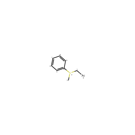 CC(=O)C[S+](C)c1ccccc1